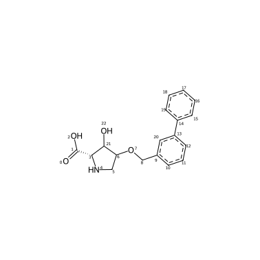 O=C(O)[C@H]1NCC(OCc2cccc(-c3ccccc3)c2)C1O